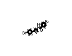 O=C(Nc1csc(-c2ccc(Br)cc2)c1)c1ccc(Br)cc1